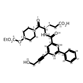 CCOC(=O)ON1CCN(C(=O)[C@H](CCC(=O)O)NC(=O)c2cc(C#CCO)nc(-c3ccccc3)n2)CC1